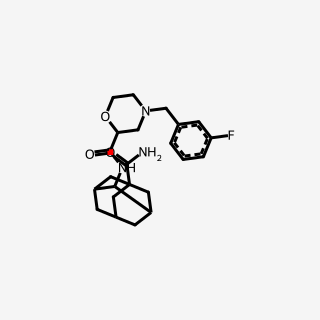 NC(=O)C12CC3CC(C1)C(NC(=O)C1CN(Cc4cccc(F)c4)CCO1)C(C3)C2